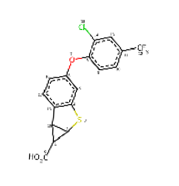 O=C(O)C1C2Sc3cc(Oc4ccc(C(F)(F)F)cc4Cl)ccc3C21